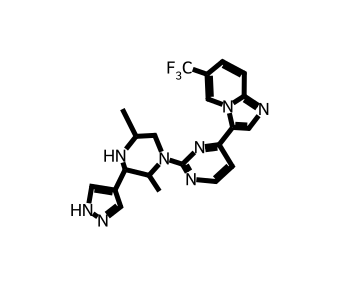 CC1CN(c2nccc(-c3cnc4ccc(C(F)(F)F)cn34)n2)C(C)C(c2cn[nH]c2)N1